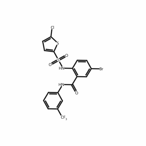 O=C(Nc1cccc(C(F)(F)F)c1)c1cc(Br)ccc1NS(=O)(=O)c1ccc(Cl)s1